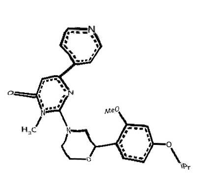 COc1cc(OC(C)C)ccc1C1CN(c2nc(-c3ccncc3)cc(=O)n2C)CCO1